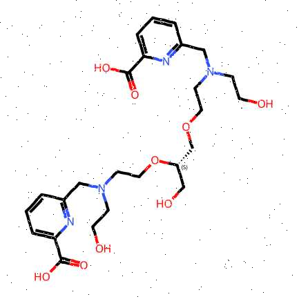 O=C(O)c1cccc(CN(CCO)CCOC[C@H](CO)OCCN(CCO)Cc2cccc(C(=O)O)n2)n1